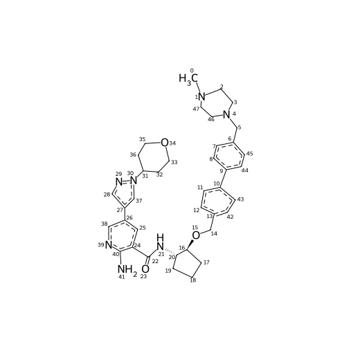 CN1CCN(Cc2ccc(-c3ccc(CO[C@H]4CCC[C@@H]4NC(=O)c4cc(-c5cnn(C6CCOCC6)c5)cnc4N)cc3)cc2)CC1